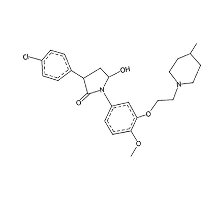 COc1ccc(N2C(=O)C(c3ccc(Cl)cc3)CC2O)cc1OCCN1CCC(C)CC1